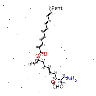 CCCCC/C=C/C=C/C=C/C=C/C=C/C(=O)OC(CCC)CC/C=C/CC(OC=O)C(C)CN